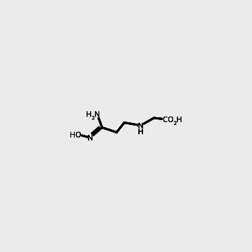 N/C(CCNCC(=O)O)=N\O